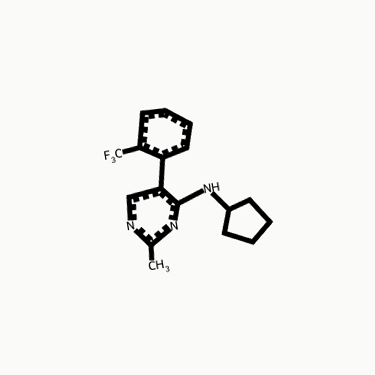 Cc1ncc(-c2ccccc2C(F)(F)F)c(NC2CCCC2)n1